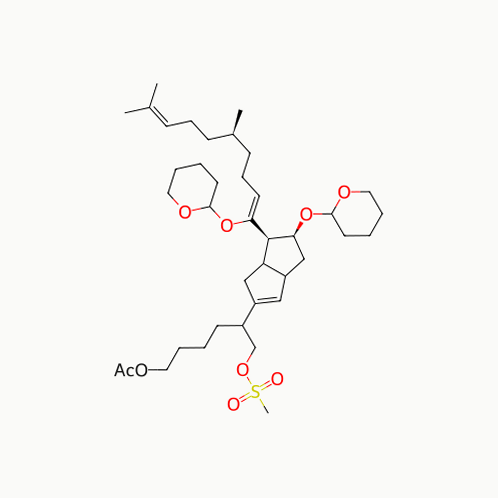 CC(=O)OCCCCC(COS(C)(=O)=O)C1=CC2C[C@H](OC3CCCCO3)[C@H](C(=CCC[C@H](C)CCC=C(C)C)OC3CCCCO3)C2C1